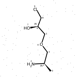 C[C@@H](N)COC[C@@H](O)CCl